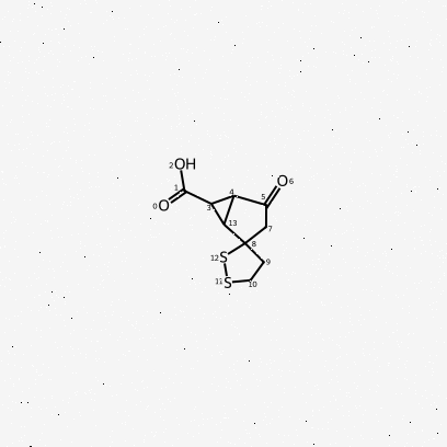 O=C(O)C1C2C(=O)CC3(CCSS3)C12